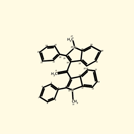 C=C(c1c(-c2ccccc2)n(C)c2ccccc12)c1c(-c2ccccc2)n(C)c2ccccc12